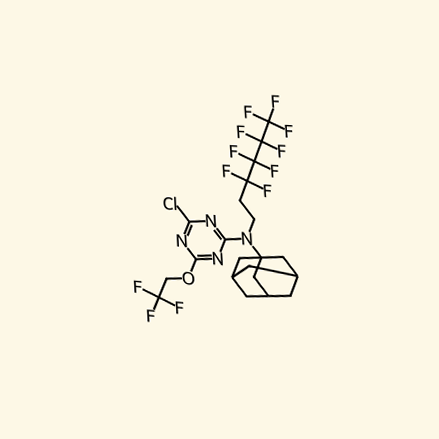 FC(F)(F)COc1nc(Cl)nc(N(CCC(F)(F)C(F)(F)C(F)(F)C(F)(F)F)C23CC4CC(CC(C4)C2)C3)n1